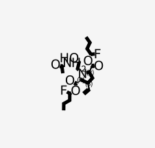 C=C[C@@H]1C[C@H](C(=O)OC(F)CCC)N(CCO)[C@H]1C(=O)OC(F)CCC.CC(N)=O